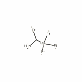 CCC(N)[Si](CC)(CC)CC